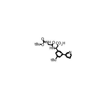 CC(C)(C)OC(=O)NCC(=O)NC(CC(=O)O)c1cc(-c2cccnc2)cc(C(C)(C)C)c1